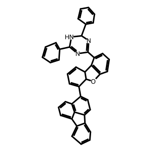 C1=CC2c3c(cccc3C3=NC(c4ccccc4)NC(c4ccccc4)=N3)OC2C(c2ccc3c4c(cccc24)-c2ccccc2-3)=C1